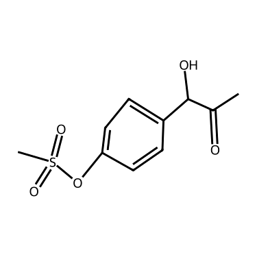 CC(=O)C(O)c1ccc(OS(C)(=O)=O)cc1